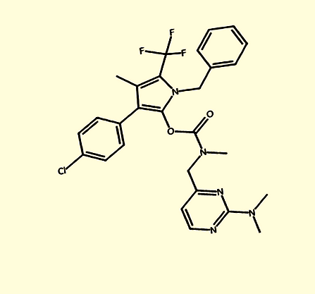 Cc1c(-c2ccc(Cl)cc2)c(OC(=O)N(C)Cc2ccnc(N(C)C)n2)n(Cc2ccccc2)c1C(F)(F)F